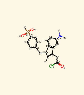 CC1=C(CC(=O)Cl)c2cc(N(C)C)ccc2/C1=C\c1ccc(S(C)(=O)=O)cc1